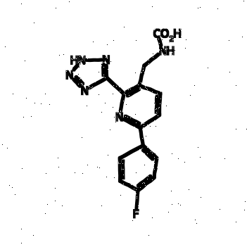 O=C(O)NCc1ccc(-c2ccc(F)cc2)nc1-c1nn[nH]n1